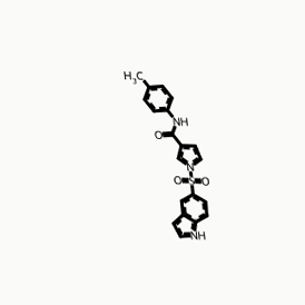 Cc1ccc(NC(=O)c2ccn(S(=O)(=O)c3ccc4[nH]ccc4c3)c2)cc1